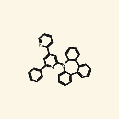 C1=CC2c3ccccc3-c3ccccc3N(c3cc(-c4ccccn4)cc(-c4ccccc4)n3)C2C=C1